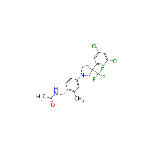 CC(=O)NCc1ccc(N2CCC(c3cc(Cl)cc(Cl)c3)(C(F)(F)F)C2)cc1C